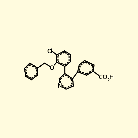 O=C(O)c1cccc(-c2ccncc2-c2cccc(Cl)c2OCc2ccccc2)c1